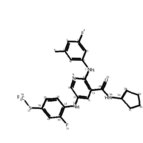 Cc1cc(F)cc(Nc2ncc(Nc3ccc(SC(F)(F)F)cc3F)cc2C(=O)NC2CCCC2)c1